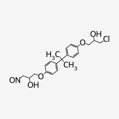 CC(C)(c1ccc(OCC(O)CCl)cc1)c1ccc(OCC(O)CN=O)cc1